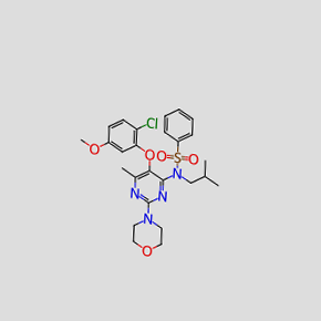 COc1ccc(Cl)c(Oc2c(C)nc(N3CCOCC3)nc2N(CC(C)C)S(=O)(=O)c2ccccc2)c1